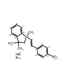 Br.CC1(C)C[N+](C)(C=Cc2ccc([N+](=O)[O-])cc2)c2ccccc21.[Br-]